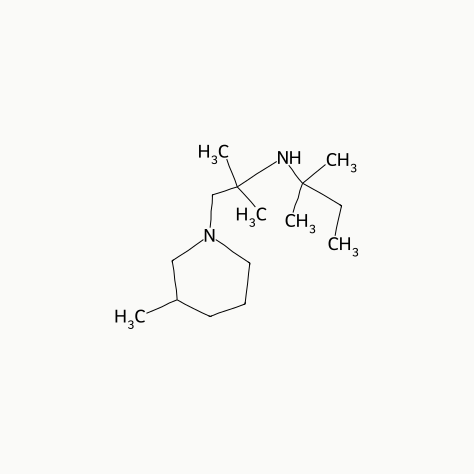 CCC(C)(C)NC(C)(C)CN1CCCC(C)C1